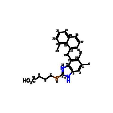 Cc1cc2[nH]c(SCCCC(=O)O)nc2c(Cc2cccc3cccc(C)c23)c1C